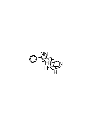 c1ccc(-c2nnc(O[C@H]3[C@@H]4C[C@H]5C[C@H]3CN(C5)C4)s2)cc1